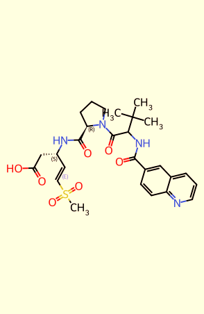 CC(C)(C)C(NC(=O)c1ccc2ncccc2c1)C(=O)N1CCC[C@@H]1C(=O)N[C@H](/C=C/S(C)(=O)=O)CC(=O)O